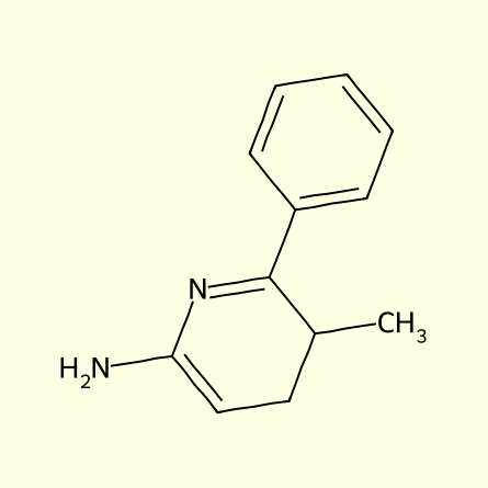 CC1CC=C(N)N=C1c1ccccc1